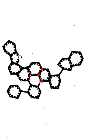 c1ccc(-c2ccccc2-c2c(-c3ccccc3)cccc2N(c2cccc(-c3ccc4ccccc4c3)c2)c2cccc(-c3cccc4c3oc3ccccc34)c2)cc1